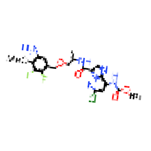 COc1c(N)cc(COC[C@@H](C)NC(=O)c2cnc3c(NC(=O)OC(C)(C)C)cc(Cl)nn23)c(F)c1F